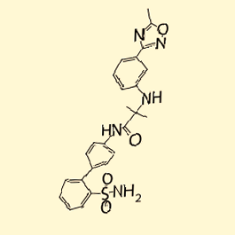 Cc1nc(-c2cccc(NC(C)(C)C(=O)Nc3ccc(-c4ccccc4S(N)(=O)=O)cc3)c2)no1